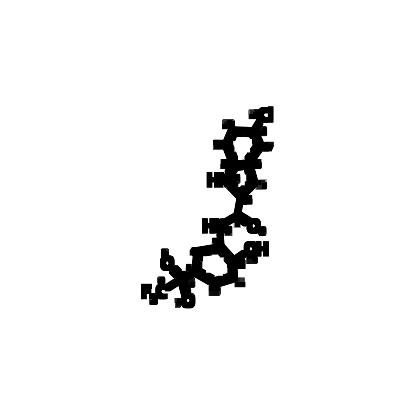 O=C(Nc1cc(S(=O)(=O)C(F)(F)F)ccc1O)c1cc2cc(Cl)ccc2[nH]1